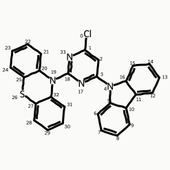 Clc1cc(-n2c3ccccc3c3ccccc32)nc(N2c3ccccc3Sc3ccccc32)n1